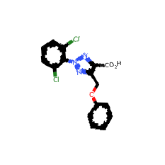 O=C(O)c1nn(-c2c(Cl)cccc2Cl)nc1COc1ccccc1